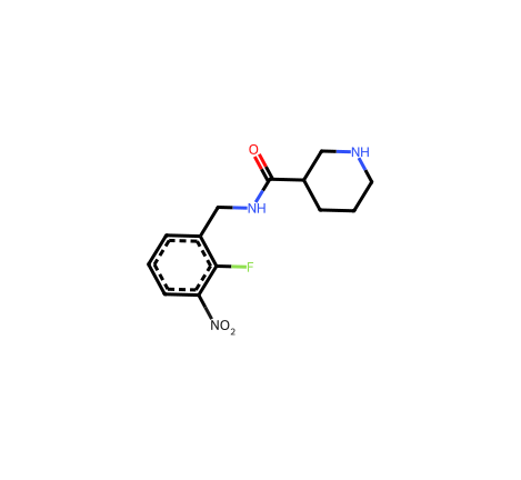 O=C(NCc1cccc([N+](=O)[O-])c1F)C1CCCNC1